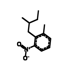 CCC(C)Cc1c(C)cccc1[N+](=O)[O-]